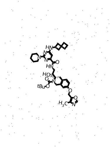 Cc1ncoc1COc1ccc2c(c1)CN(C(=O)OC(C)(C)C)[C@H]([C@H](O)CNC(=O)c1cc(NC3CC4(CCC4)C3)nc(N3CCCCC3)n1)C2